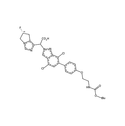 CC(C)(C)OC(=O)NCCOc1ccc(-c2cc(Cl)c3cn(C(C(=O)O)c4ncn5c4C[C@@H](F)C5)nc3c2Cl)cc1